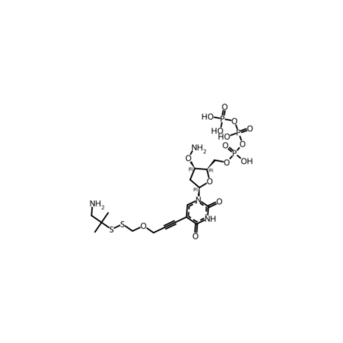 CC(C)(CN)SSCOCC#Cc1cn([C@H]2C[C@@H](ON)[C@@H](COP(=O)(O)OP(=O)(O)OP(=O)(O)O)O2)c(=O)[nH]c1=O